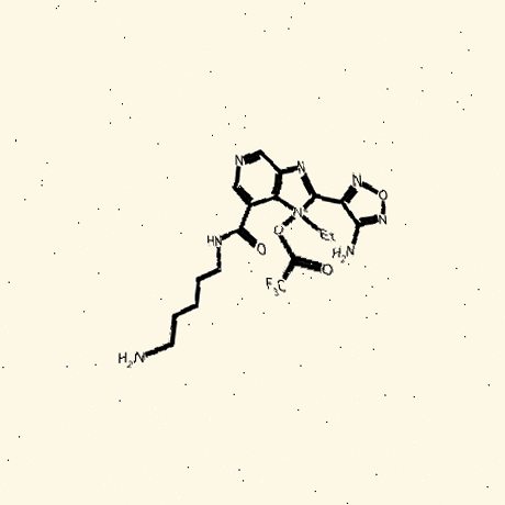 CC[N+]1(OC(=O)C(F)(F)F)C(c2nonc2N)=Nc2cncc(C(=O)NCCCCCN)c21